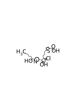 CCCCCC(O)c1ccc(C2C(CCCc3ccc(C(=O)O)s3)[C@H](Cl)C[C@H]2O)cn1